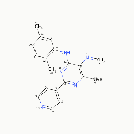 C=Nc1c(NC)nc(-c2ccncc2)nc1Nc1cc(C)ccc1C